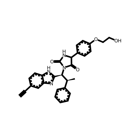 C#Cc1ccc2[nH]c([C@H]([C@@H](C)c3ccccc3)N3C(=O)NC(c4ccc(OCCO)cc4)C3=O)nc2c1